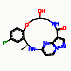 C[C@H]1Nc2ccn3ncc(c3n2)C(=O)NC[C@H](O)COc2ccc(F)cc21